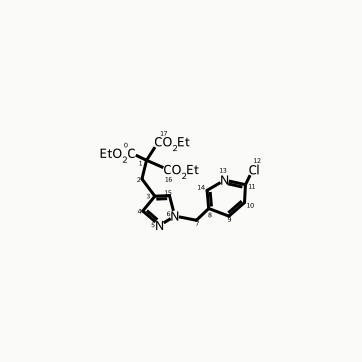 CCOC(=O)C(Cc1cnn(Cc2ccc(Cl)nc2)c1)(C(=O)OCC)C(=O)OCC